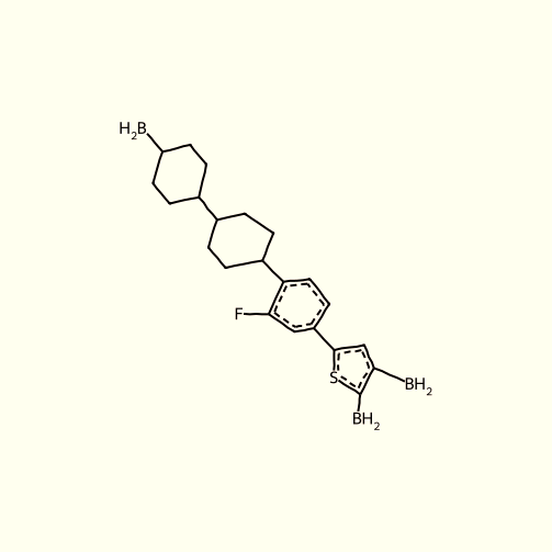 Bc1cc(-c2ccc(C3CCC(C4CCC(B)CC4)CC3)c(F)c2)sc1B